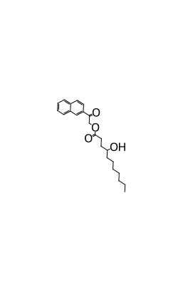 CCCCCCCC(O)CCC(=O)OCC(=O)c1ccc2ccccc2c1